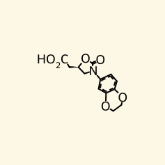 O=C(O)C[C@@H]1CN(c2ccc3c(c2)OCCO3)C(=O)O1